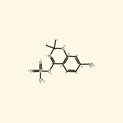 CC1(C)N=C(OS(=O)(=O)C(F)(F)F)c2ccc([N+](=O)[O-])cc2O1